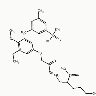 CCCCC(CC)C(=O)O.COc1ccc(OCC(=O)O)cc1OC.Cc1cc(C)cc(P(=O)(O)O)c1